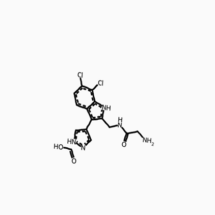 NCC(=O)NCc1[nH]c2c(Cl)c(Cl)ccc2c1-c1cn[nH]c1.O=CO